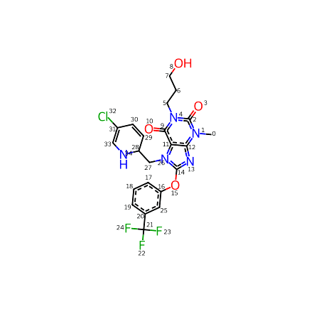 Cn1c(=O)n(CCCO)c(=O)c2c1nc(Oc1cccc(C(F)(F)F)c1)n2CC1C=CC(Cl)=CN1